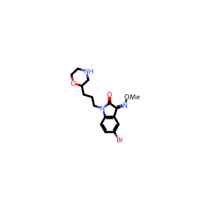 CON=C1C(=O)N(CCCC2CNCCO2)c2ccc(Br)cc21